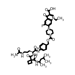 CCn1cc(C(=O)O)c(=O)c2cc(F)c(N3CCN(C(=O)OCc4ccc(NC(=O)[C@H](CCCNC(N)=O)NC(=O)C5(C(=O)NC(C)CC(C)C)CCC5)cc4)CC3)cc21